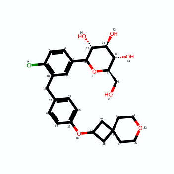 OC[C@H]1OC(c2ccc(Cl)c(Cc3ccc(OC4CC5(CCOCC5)C4)cc3)c2)[C@H](O)[C@@H](O)[C@@H]1O